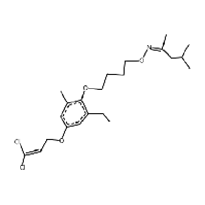 CCc1cc(OCC=C(Cl)Cl)cc(C)c1OCCCCON=C(C)CC(C)C